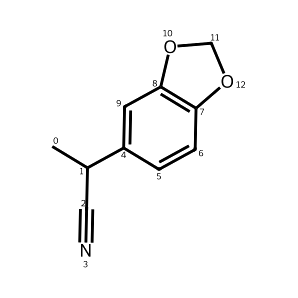 CC(C#N)c1ccc2c(c1)OCO2